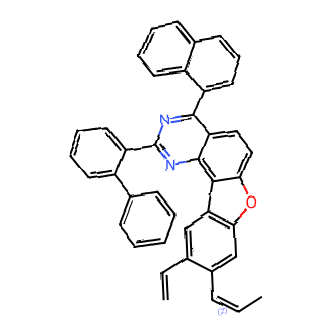 C=Cc1cc2c(cc1/C=C\C)oc1ccc3c(-c4cccc5ccccc45)nc(-c4ccccc4-c4ccccc4)nc3c12